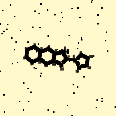 c1ccc2cc3[nH]c(-n4cccn4)nc3cc2c1